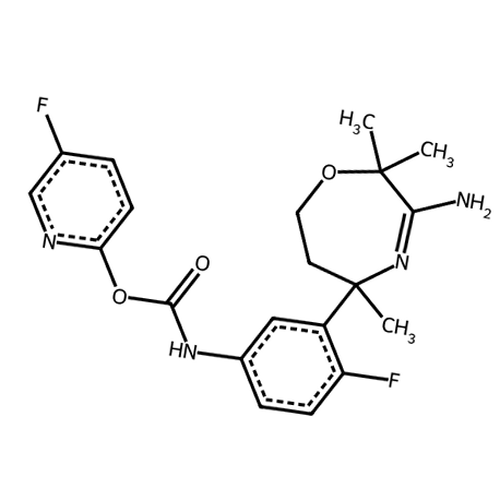 CC1(C)OCCC(C)(c2cc(NC(=O)Oc3ccc(F)cn3)ccc2F)N=C1N